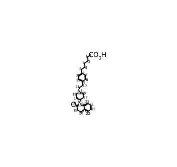 O=C(O)CCCCCc1ccc(CCN2CCC(N3C(=O)CCc4ccccc43)CC2)cc1